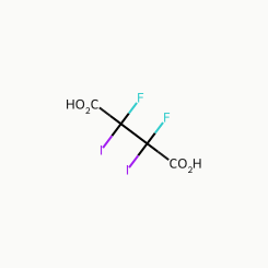 O=C(O)C(F)(I)C(F)(I)C(=O)O